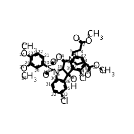 COC(=O)CCN(CCC(=O)OC)C(=O)C1N(S(=O)(=O)c2ccc(OC)c(OC)c2)c2ccc(Cl)cc2C1(O)c1ccccc1Cl